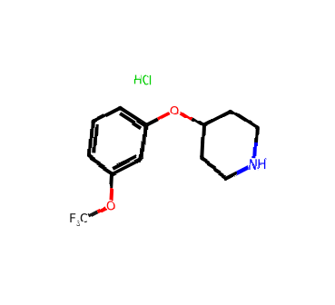 Cl.FC(F)(F)Oc1cccc(OC2CCNCC2)c1